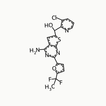 CC(F)(F)c1ccc(-c2nc(N)c3cc(C(O)c4ncccc4Cl)sc3n2)o1